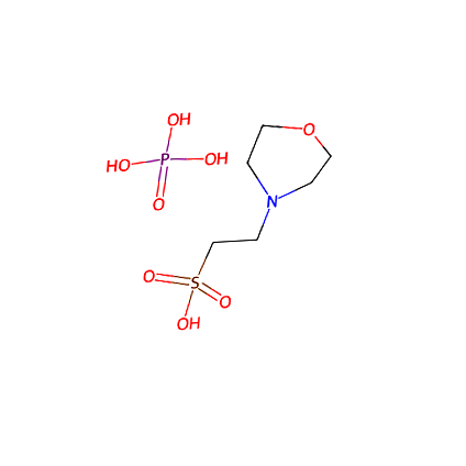 O=P(O)(O)O.O=S(=O)(O)CCN1CCOCC1